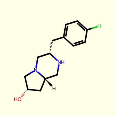 O[C@H]1C[C@H]2CN[C@@H](Cc3ccc(Cl)cc3)CN2C1